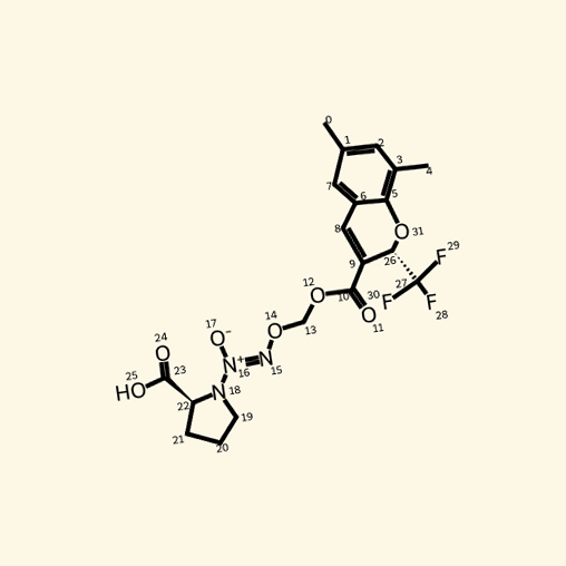 Cc1cc(C)c2c(c1)C=C(C(=O)OCO/N=[N+](\[O-])N1CCC[C@H]1C(=O)O)[C@@H](C(F)(F)F)O2